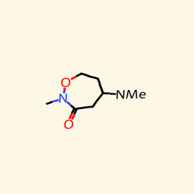 CNC1CCON(C)C(=O)C1